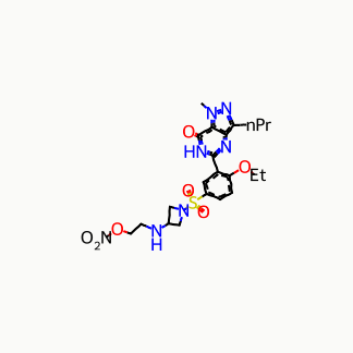 CCCc1nn(C)c2c(=O)[nH]c(-c3cc(S(=O)(=O)N4CC(NCCO[N+](=O)[O-])C4)ccc3OCC)nc12